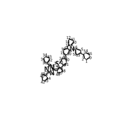 c1ccc(-c2ccc(-n3c4ccccc4c4ccc(-c5ccc6c(c5)sc5c(-c7nc(-c8ccccc8)nc(-c8ccccc8)n7)cccc56)cc43)cc2)cc1